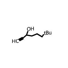 C#CC(O)CCCC(C)(C)C